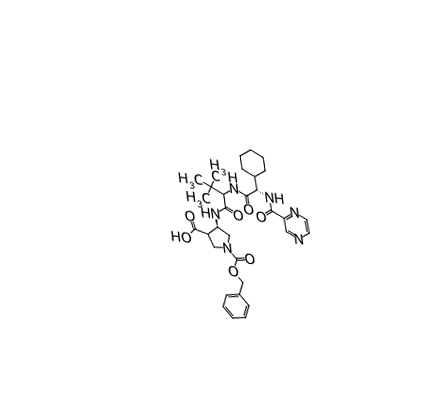 CC(C)(C)C(NC(=O)[C@@H](NC(=O)c1cnccn1)C1CCCCC1)C(=O)N[C@H]1CN(C(=O)OCc2ccccc2)CC1C(=O)O